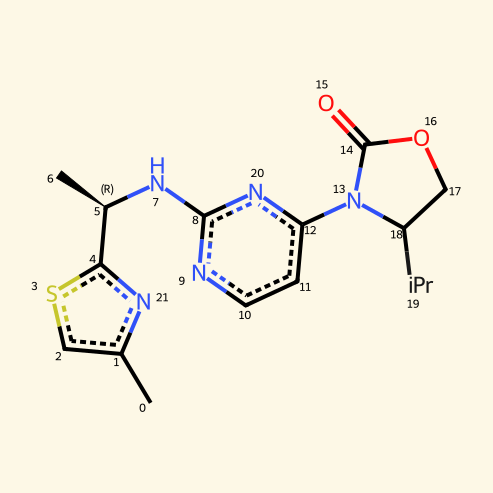 Cc1csc([C@@H](C)Nc2nccc(N3C(=O)OCC3C(C)C)n2)n1